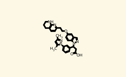 Cc1cc(C)n(-c2cccc(C(CC(=O)O)n3ncc4cc(OCCc5ccc6c(n5)NCCC6)ccc43)c2)n1